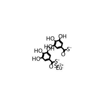 O=C([S-])c1cc(O)c(O)c(O)c1.O=C([S-])c1cc(O)c(O)c(O)c1.[Eu].[Sr+2]